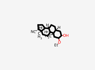 CCO[C@H]1C[C@@]2(C)[C@@H](CC[C@@H]3[C@@H]2CC[C@]2(C)[C@H](C#N)CC[C@@H]32)C[C@@H]1O